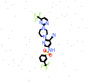 N#Cc1cc(NS(=O)(=O)c2cccc(C(F)(F)F)c2)cnc1N1CCCN(c2nccc(C(F)(F)F)n2)CC1